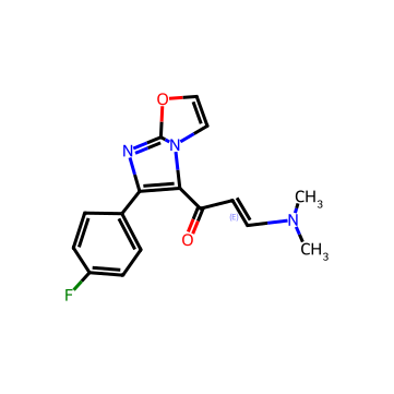 CN(C)/C=C/C(=O)c1c(-c2ccc(F)cc2)nc2occn12